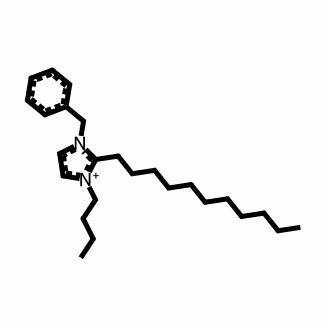 CCCCCCCCCCCc1n(Cc2ccccc2)cc[n+]1CCCC